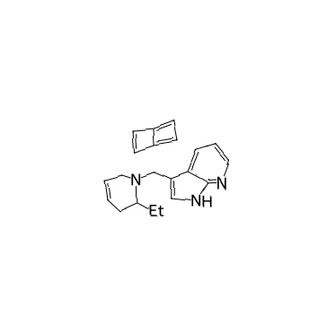 CCC1CC=CCN1Cc1c[nH]c2ncccc12.c1cc2ccc1-2